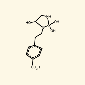 O=C(O)c1ccc(CCN2C(O)CNS2(O)O)cc1